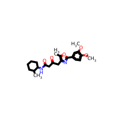 COc1ccc(-c2nc(CC(=O)CC(=O)NC3CCCCC3C)c(C)o2)cc1OC